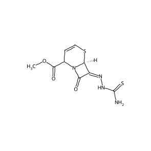 COC(=O)C1C=CS[C@H]2C(=NNC(N)=S)C(=O)N12